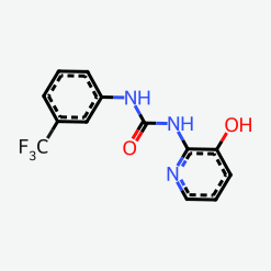 O=C(Nc1cccc(C(F)(F)F)c1)Nc1ncccc1O